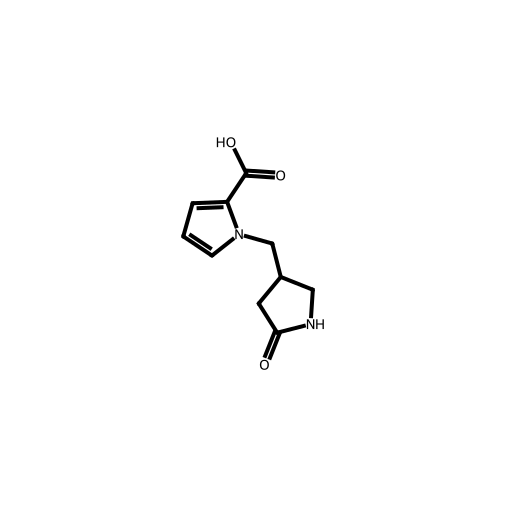 O=C1CC(Cn2cccc2C(=O)O)CN1